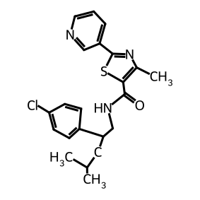 Cc1nc(-c2cccnc2)sc1C(=O)NCC(CC(C)C)c1ccc(Cl)cc1